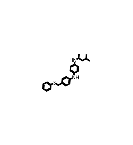 CC(C)CC(C)Nc1ccc(Nc2ccc(CSc3ccccc3)cc2)cc1